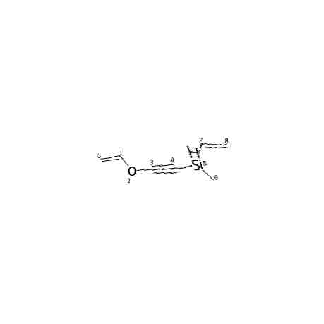 C=COC#C[SiH](C)C=C